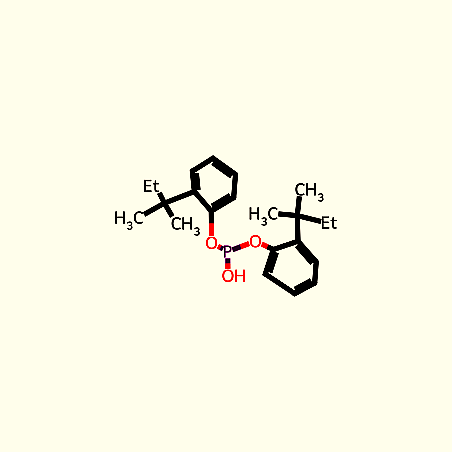 CCC(C)(C)c1ccccc1OP(O)Oc1ccccc1C(C)(C)CC